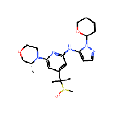 C[C@@H]1COCCN1c1cc(C(C)(C)[S+](C)[O-])cc(Nc2ccnn2C2CCCCO2)n1